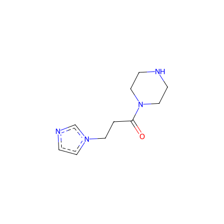 O=C(CCn1ccnc1)N1CCNCC1